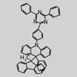 CC1(C2(c3ccccc3)c3ccccc3N(c3ccc(-c4nc(-c5ccccc5)nc(-c5ccccc5)n4)cc3)c3ccccc32)c2ccccc2-c2ccccc21